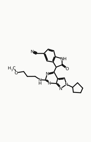 COCCCNc1nc(C2C(=O)Nc3ccc(C#N)cc32)c2cn(C3CCCC3)nc2n1